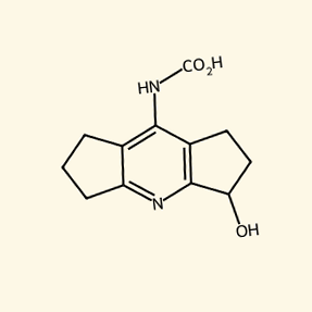 O=C(O)Nc1c2c(nc3c1CCC3O)CCC2